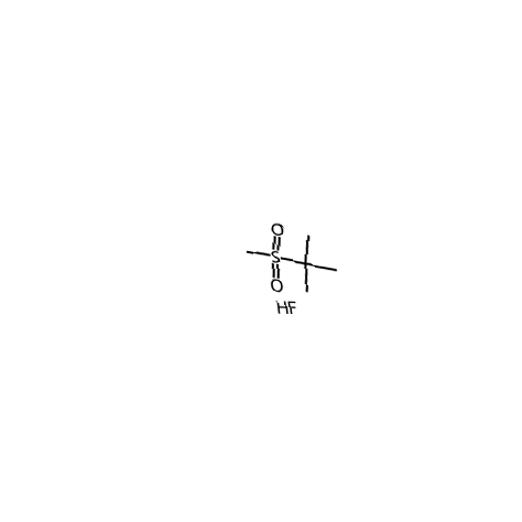 CC(C)(C)S(C)(=O)=O.F